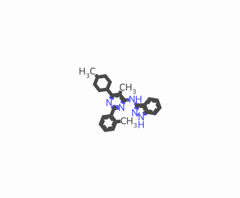 Cc1ccccc1-c1nc(Nc2n[nH]c3ccccc23)c(C)c(C2CCC(C)CC2)n1